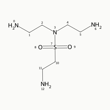 NCCN(CCN)S(=O)(=O)CCN